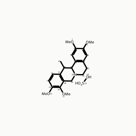 COc1cc2c(cc1OC)C1C(C)c3ccc(OC)c(OC)c3CN1CC2.O=S(=O)(O)O